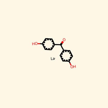 O=C(c1ccc(O)cc1)c1ccc(O)cc1.[La]